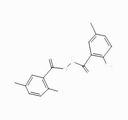 Cc1ccc(O)c(C(=O)NNC(=O)c2cc(C)ccc2O)c1